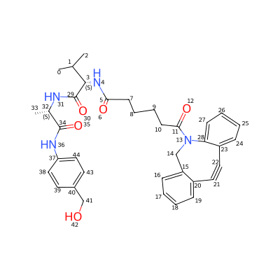 CC(C)[C@H](NC(=O)CCCCC(=O)N1Cc2ccccc2C#Cc2ccccc21)C(=O)N[C@@H](C)C(=O)Nc1ccc(CO)cc1